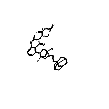 Cc1nc2cccc(N3C[C@H]4C[C@@H]3CN4CCC34CC5CC(CC(C5)C3)C4)c2c(=O)n1C1CCC(=O)NC1=O